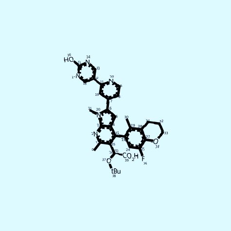 Cc1nc2c(cc(-c3ccnc(-c4cnc(O)nc4)c3)n2C)c(-c2cc(F)c3c(c2C)CCCO3)c1[C@H](OC(C)(C)C)C(=O)O